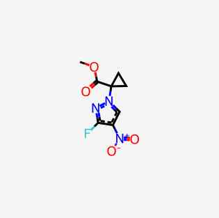 COC(=O)C1(n2cc([N+](=O)[O-])c(F)n2)CC1